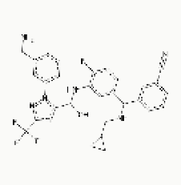 N#Cc1cccc(C(NCC2CC2)c2ccc(F)c(NC(O)c3cc(C(F)(F)F)nn3-c3cccc(CN)c3)c2)c1